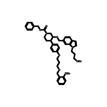 COCCCn1ccc2ccc(COC3CN(C(=O)OCc4ccccc4)CCC3c3ccc(OCCCOCc4ccccc4OC)cc3)cc21